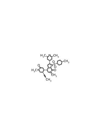 CC#Cc1cn(C)c(=O)cc1-c1cn(C)c(=O)c2c1cc(-c1cc(C)nc(C)c1)n2S(=O)(=O)c1ccc(C)cc1